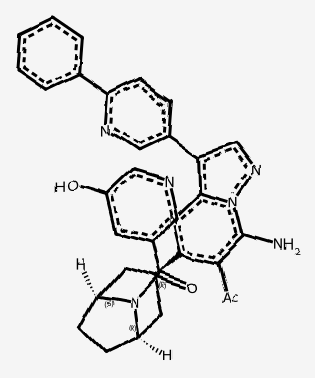 CC(=O)c1c([C@H]2C[C@H]3CC[C@@H](C2)N3C(=O)c2cncc(O)c2)nc2c(-c3ccc(-c4ccccc4)nc3)cnn2c1N